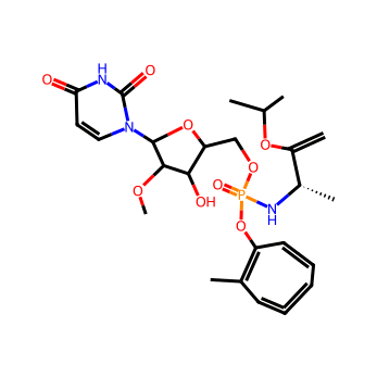 C=C(OC(C)C)[C@H](C)NP(=O)(OCC1OC(n2ccc(=O)[nH]c2=O)C(OC)C1O)OC1=C(C)C=C=CC=C1